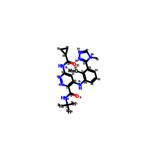 [2H]C([2H])([2H])NC(=O)c1nnc(NC(=O)C2CC2)cc1Nc1cccc(-c2nncn2C)c1OC